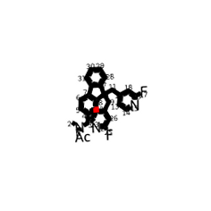 CC(=O)N(C)Cc1ccc2c(c1)C(Cc1ccnc(F)c1)(Cc1ccnc(F)c1)c1ccccc1-2